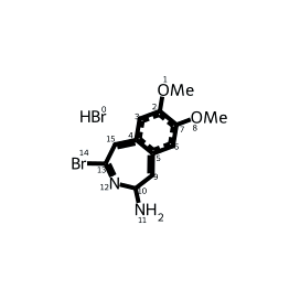 Br.COc1cc2c(cc1OC)=CC(N)N=C(Br)C=2